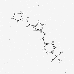 FC(F)(F)c1ccc(OCc2cc(OC[C@@H]3CCCN3)no2)cc1